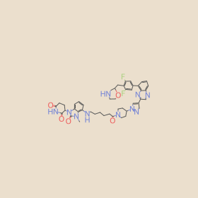 Cn1c(=O)n(C2CCC(=O)NC2=O)c2cccc(NCCCCCC(=O)N3CCC(n4cc(-c5cnc6cccc(-c7cc(F)c(CC8CNCCO8)c(F)c7)c6n5)cn4)CC3)c21